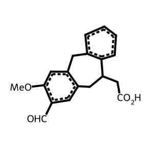 COc1cc2c(cc1C=O)CC(CC(=O)O)c1ccccc1C2